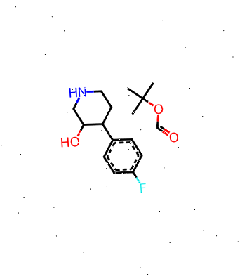 CC(C)(C)OC=O.OC1CNCCC1c1ccc(F)cc1